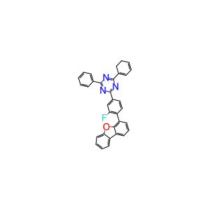 Fc1cc(-c2nc(C3=CC=CCC3)nc(-c3ccccc3)n2)ccc1-c1cccc2c1oc1ccccc12